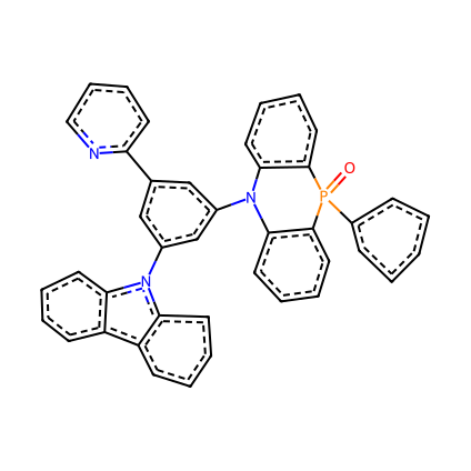 O=P1(c2ccccc2)c2ccccc2N(c2cc(-c3ccccn3)cc(-n3c4ccccc4c4ccccc43)c2)c2ccccc21